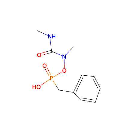 CNC(=O)N(C)OP(=O)(O)Cc1ccccc1